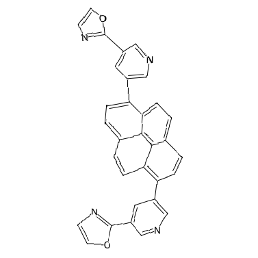 c1coc(-c2cncc(-c3ccc4ccc5c(-c6cncc(-c7ncco7)c6)ccc6ccc3c4c65)c2)n1